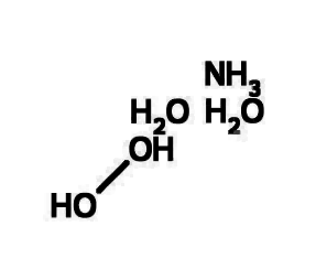 N.O.O.OO